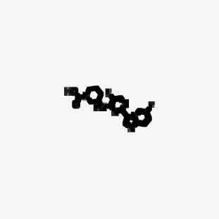 O=C(O)N1CCCC(Nc2nc(-c3cnc4ccc(F)cn34)ncc2F)C1